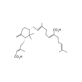 C=C1CC[C@H](C/C=C(\C)CC/C=C(/CCC=C(C)C)C(=O)O)C(C)(C)[C@@H]1CC/C(C)=C/C(=O)O